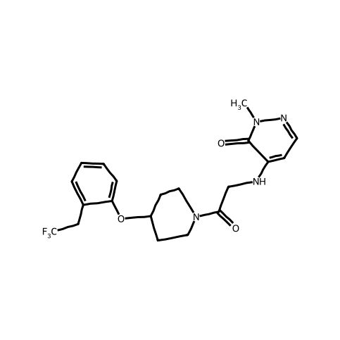 Cn1nccc(NCC(=O)N2CCC(Oc3ccccc3CC(F)(F)F)CC2)c1=O